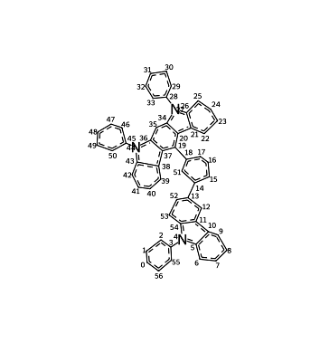 c1ccc(-n2c3ccccc3c3cc(-c4cccc(-c5c6c7ccccc7n(-c7ccccc7)c6cc6c5c5ccccc5n6-c5ccccc5)c4)ccc32)cc1